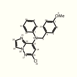 COc1ccc(CN(c2ccccc2)c2cc(Cl)nn3ccnc23)cc1